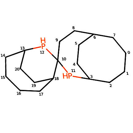 C1CCC2CCC(C1)CCC1(P2)PC2CCCCC1CC2